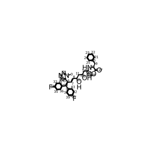 Cn1nnnc1C(C=C[C@@H](O)C[C@@H](O)CC(=O)N[C@@H](Cc1ccccc1)C(=O)O)=C(c1ccc(F)cc1)c1ccc(F)cc1